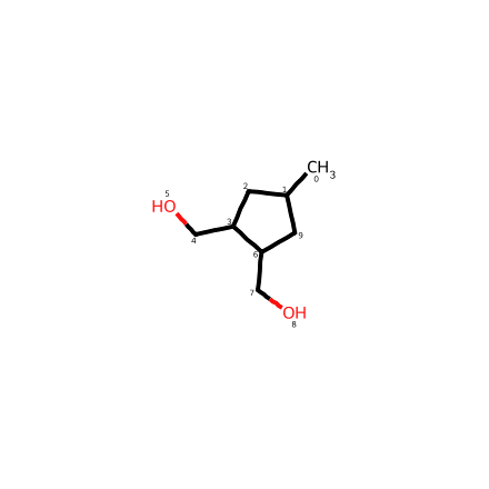 CC1CC(CO)C(CO)C1